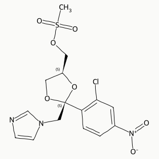 CS(=O)(=O)OC[C@@H]1CO[C@@](Cn2ccnc2)(c2ccc([N+](=O)[O-])cc2Cl)O1